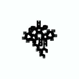 CCN(CC)CC(O)Cn1cc(C2=C(c3c[nH]c4ccccc34)C(=O)NC2=O)c2c(Cl)cccc21